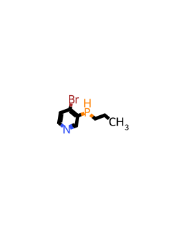 CCCPc1cnccc1Br